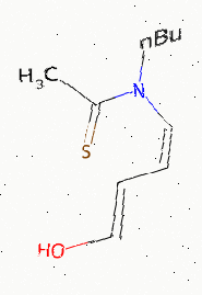 CCCCN(/C=C\C=C\O)C(C)=S